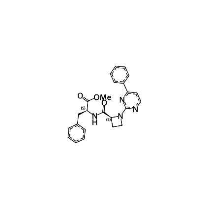 COC(=O)[C@H](Cc1ccccc1)NC(=O)[C@@H]1CCN1c1nccc(-c2ccccc2)n1